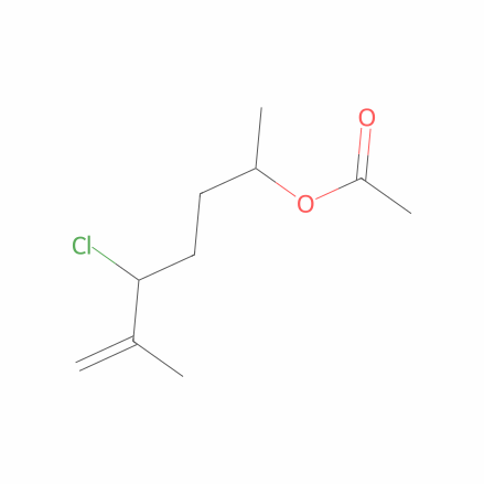 C=C(C)C(Cl)CCC(C)OC(C)=O